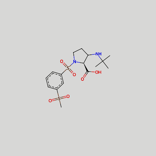 CC(C)(C)NC1CCN(S(=O)(=O)c2cccc(S(C)(=O)=O)c2)[C@@H]1C(=O)O